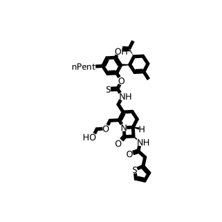 C=C(C)[C@@H]1CCC(C)=C[C@H]1c1c(O)cc(CCCCC)cc1OC(=S)NCC1=C(COCO)N2C(=O)[C@@H](NC(=O)Cc3cccs3)[C@H]2CC1